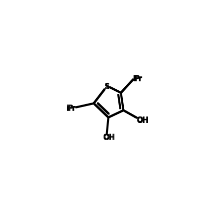 CC(C)c1sc(C(C)C)c(O)c1O